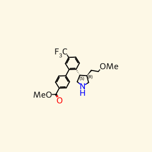 COCC[C@H]1CNC[C@@H]1c1ccc(C(F)(F)F)cc1-c1ccc(C(=O)OC)cc1